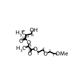 COCCOCCOC(=O)C(C)OC(=O)C(C)CO